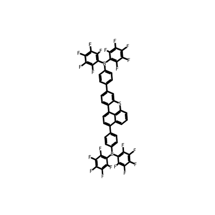 Fc1c(F)c(F)c(B(c2ccc(-c3ccc4c(c3)Sc3cccc5c(-c6ccc(B(c7c(F)c(F)c(F)c(F)c7F)c7c(F)c(F)c(F)c(F)c7F)cc6)ccc-4c35)cc2)c2c(F)c(F)c(F)c(F)c2F)c(F)c1F